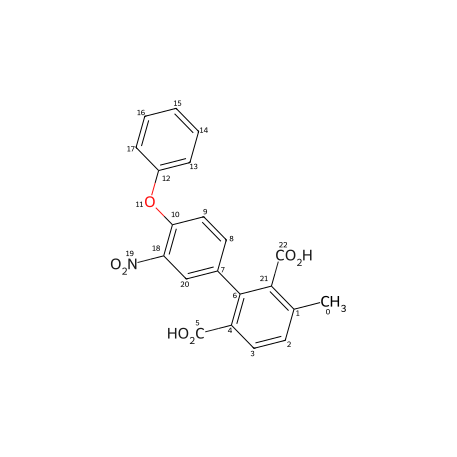 Cc1ccc(C(=O)O)c(-c2ccc(Oc3ccccc3)c([N+](=O)[O-])c2)c1C(=O)O